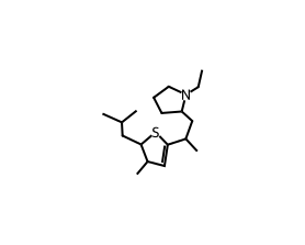 CCN1CCCC1CC(C)C1=CC(C)C(CC(C)C)S1